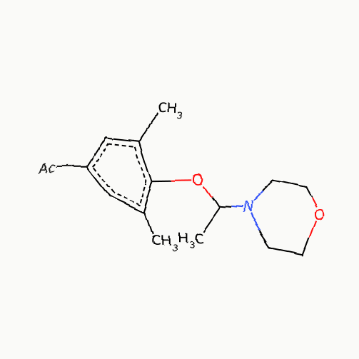 CC(=O)c1cc(C)c(OC(C)N2CCOCC2)c(C)c1